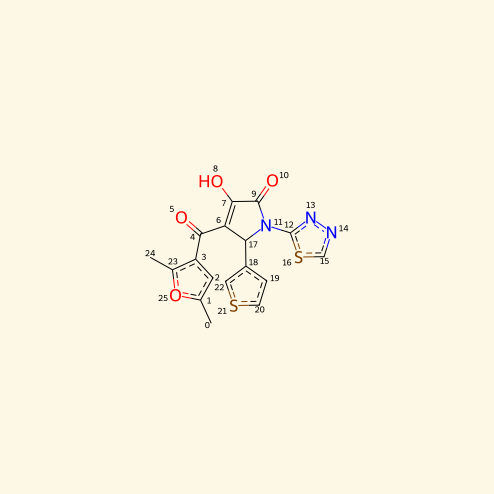 Cc1cc(C(=O)C2=C(O)C(=O)N(c3nncs3)C2c2ccsc2)c(C)o1